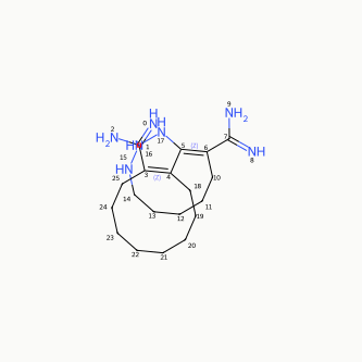 N=C(N)/C1=C(\C2=C(\C(=N)N)CCCCCNNN2)CCCCCCCC1